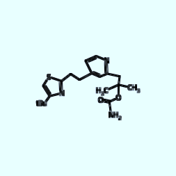 CC(C)(Cc1cc(CCc2nc(C(C)(C)C)cs2)ccn1)OC(N)=O